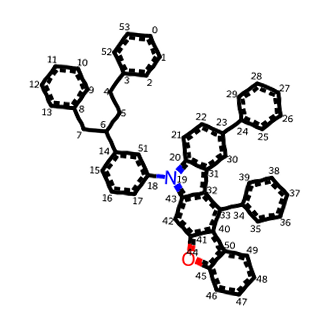 c1ccc(CCC(Cc2ccccc2)c2cccc(-n3c4ccc(-c5ccccc5)cc4c4c(-c5ccccc5)c5c(cc43)oc3ccccc35)c2)cc1